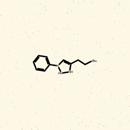 CC(C)(C)CCC1=CN(c2ccccc2)NN1